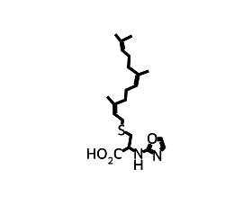 CC(C)=CCCC(C)=CCCC(C)=CCSCC(Nc1ncco1)C(=O)O